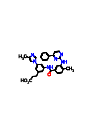 Cc1cn(-c2cc(CCC(=O)O)cc(NC(=O)c3ccc(C)c(Nc4nccc(-c5ccccc5)n4)c3)c2)cn1